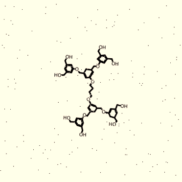 OCC1=CC(CO)CC(OCC2C=C(OCCCCOC3=CC(COc4cc(CO)cc(CO)c4)CC(COc4cc(CO)cc(CO)c4)=C3)C=C(COc3cc(CO)cc(CO)c3)C2)=C1